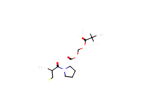 CC(CS)C(=O)N1CCC[C@H]1C(=O)OCOC(=O)C(C)(C)C